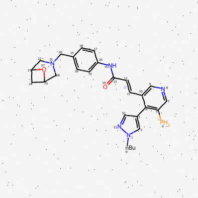 CCCCn1cc(-c2c(P)cncc2/C=C/C(=O)Nc2ccc(CN3CC4CC(C3)O4)cc2)cn1